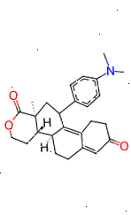 CN(C)c1ccc(C2C[C@]3(C)C(=O)OCC[C@H]3[C@@H]3CCC4=CC(=O)CCC4=C23)cc1